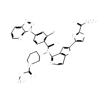 CNC(=O)c1nc(-c2cc3c(N(C(=O)c4ccc(-n5nnc6cccnc65)cc4F)[C@@H]4CCCN(C(=O)OC(C)(C)C)C4)nccc3s2)cs1